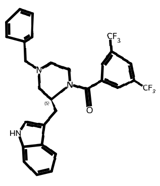 O=C(c1cc(C(F)(F)F)cc(C(F)(F)F)c1)N1CCN(Cc2ccccc2)C[C@@H]1Cc1c[nH]c2ccccc12